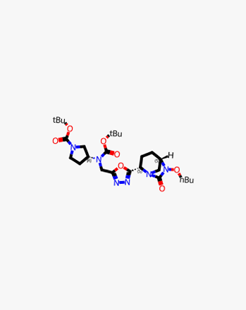 CCCCON1C(=O)N2C[C@@H]1CC[C@H]2c1nnc(CN(C(=O)OC(C)(C)C)[C@@H]2CCN(C(=O)OC(C)(C)C)C2)o1